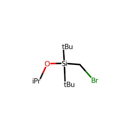 CC(C)O[Si](CBr)(C(C)(C)C)C(C)(C)C